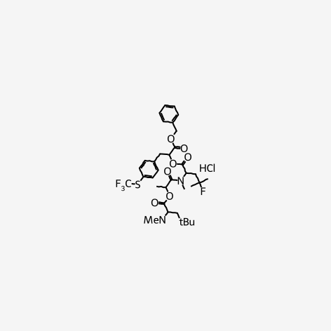 CNC(CC(C)(C)C)C(=O)OC(C)C(=O)N(C)C(CC(C)(C)F)C(=O)OC(Cc1ccc(SC(F)(F)F)cc1)C(=O)OCc1ccccc1.Cl